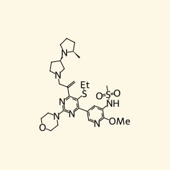 C=C(CN1CC[C@@H](N2CCC[C@H]2C)C1)c1nc(N2CCOCC2)nc(-c2cnc(OC)c(NS(C)(=O)=O)c2)c1SCC